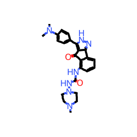 CN1CCN(NC(=O)Nc2cccc3c2C(=O)c2c-3n[nH]c2-c2ccc(N(C)C)cc2)CC1